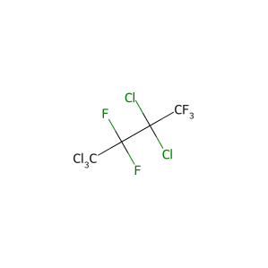 FC(F)(F)C(Cl)(Cl)C(F)(F)C(Cl)(Cl)Cl